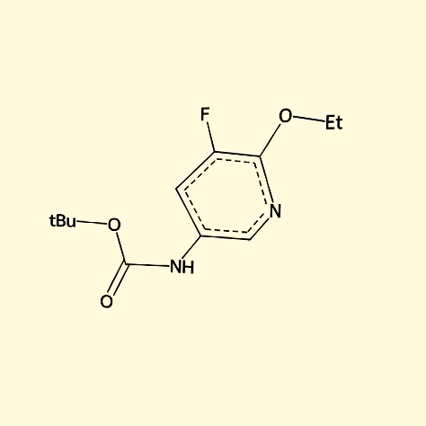 CCOc1ncc(NC(=O)OC(C)(C)C)cc1F